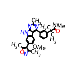 CNC(=O)C(C)(C)c1cccc(-c2nc(C)nc3[nH]c4cc(-c5c(C)noc5C)c(OC)cc4c23)c1